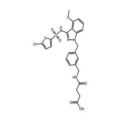 COc1cccc2c1c(NS(=O)(=O)c1ccc(Cl)s1)nn2Cc1cccc(CNC(=O)CCC(=O)O)c1